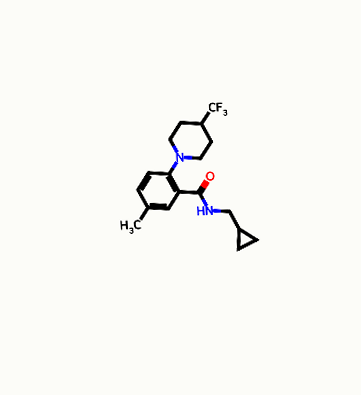 Cc1ccc(N2CCC(C(F)(F)F)CC2)c(C(=O)NCC2CC2)c1